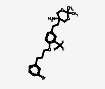 CC1(C)OCC(N)(CCc2ccc(OCCCc3cccc(Br)c3)c(C(F)(F)F)c2)CO1